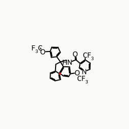 O=C(NCC(Cc1ccccc1)(c1cccc(OC(F)(F)F)c1)c1cccc(OC(F)(F)F)c1)c1cnccc1C(F)(F)F